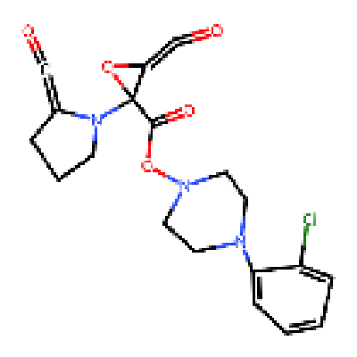 O=C=C1CCCN1C1(C(=O)ON2CCN(c3ccccc3Cl)CC2)OC1=C=O